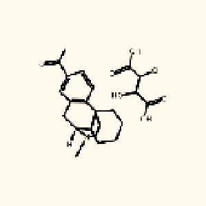 CC(=O)c1ccc2c(c1)C[C@@H]1[C@@H]3CCCC[C@]23CCN1C.O=C(O)C(O)C(O)C(=O)O